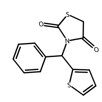 O=C1CSC(=O)N1C(c1ccccc1)c1cccs1